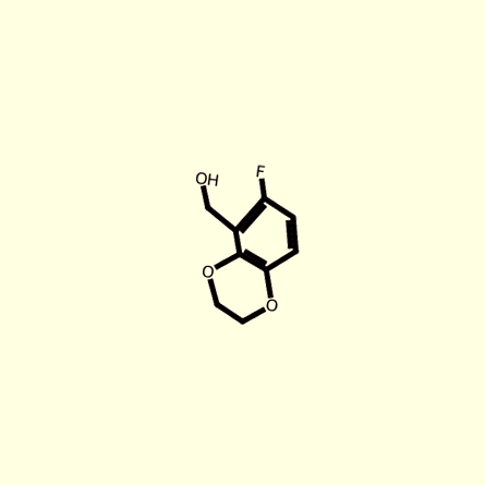 OCc1c(F)ccc2c1OCCO2